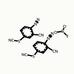 N#CSc1ccc([N+]#N)c(C#N)c1.N#CSc1ccc([N+]#N)c(C#N)c1.[O-]B([O-])F